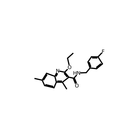 CCOc1nc2cc(C)ccc2c(C)c1C(=O)NCc1ccc(F)cc1